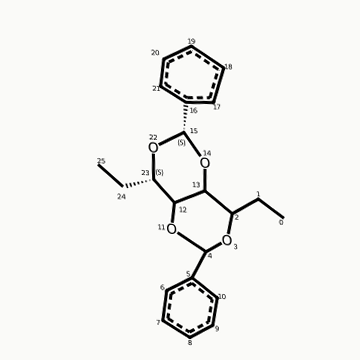 CCC1OC(c2ccccc2)OC2C1O[C@@H](c1ccccc1)O[C@H]2CC